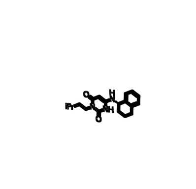 CC(C)CCn1c(=O)cc(N[C@H]2CCCc3ccccc32)[nH]c1=O